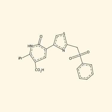 CC(C)c1[nH]c(=O)c(-c2csc(CS(=O)(=O)c3ccccc3)n2)cc1C(=O)O